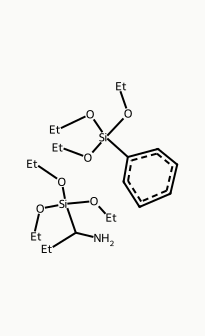 CCO[Si](OCC)(OCC)C(N)CC.CCO[Si](OCC)(OCC)c1ccccc1